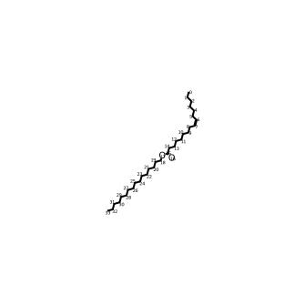 CCCCCC/C=C\CCCCCCCC(=O)OCCCCCCCCCCCCCCCC